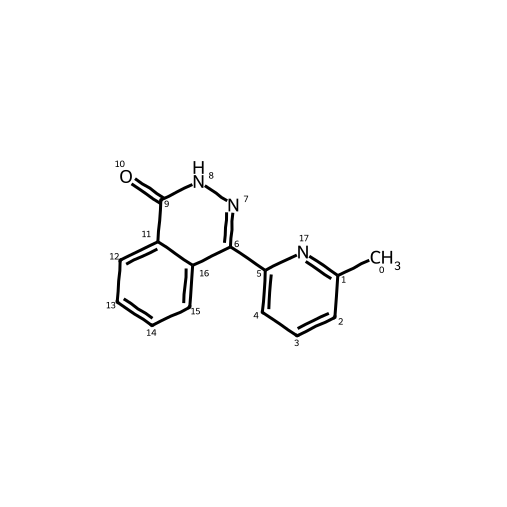 Cc1cccc(-c2n[nH]c(=O)c3ccccc23)n1